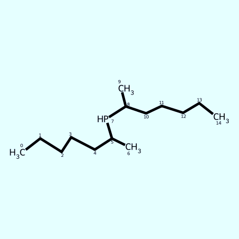 CCCCCC(C)PC(C)CCCCC